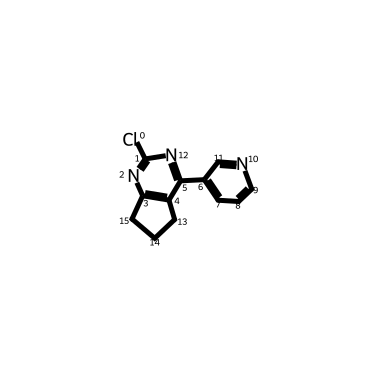 Clc1nc2c(c(-c3cccnc3)n1)CCC2